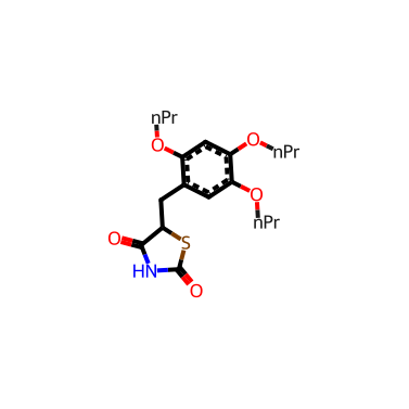 CCCOc1cc(OCCC)c(OCCC)cc1CC1SC(=O)NC1=O